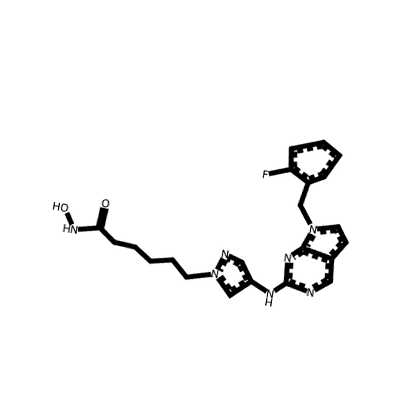 O=C(CCCCCn1cc(Nc2ncc3ccn(Cc4ccccc4F)c3n2)cn1)NO